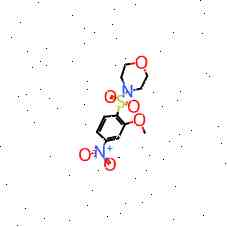 COc1cc([N+](=O)[O-])ccc1S(=O)(=O)N1CCOCC1